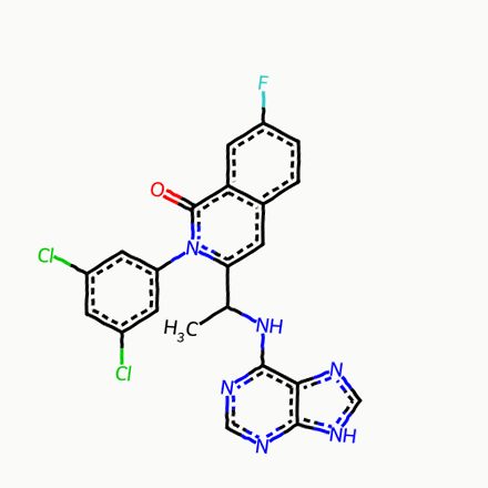 CC(Nc1ncnc2[nH]cnc12)c1cc2ccc(F)cc2c(=O)n1-c1cc(Cl)cc(Cl)c1